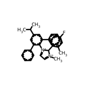 Cc1cc(F)ccc1C1[N+](C)=CC=[N+]1c1c(-c2ccccc2)cc(C(C)C)cc1-c1ccccc1